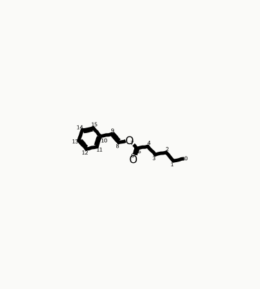 CCCCCC(=O)OC=Cc1ccccc1